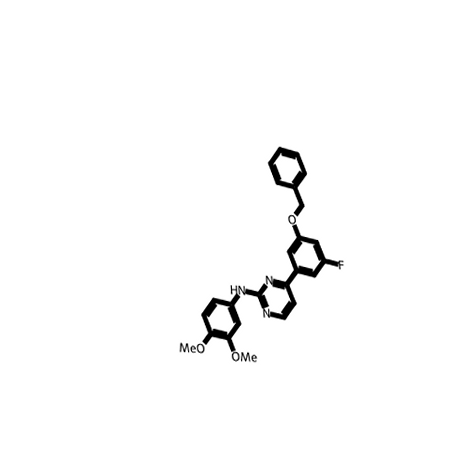 COc1ccc(Nc2nccc(-c3cc(F)cc(OCc4ccccc4)c3)n2)cc1OC